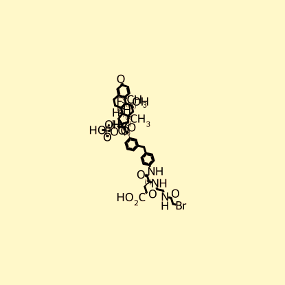 C[C@]12C=CC(=O)C=C1CC[C@H]1[C@@H]3C[C@H]4O[C@@H](c5cccc(Cc6ccc(NC(=O)[C@H](CCC(=O)O)NC(=O)CNC(=O)CBr)cc6)c5)O[C@@]4(C(=O)COP(=O)(O)O)[C@@]3(C)C[C@H](O)[C@@]12F